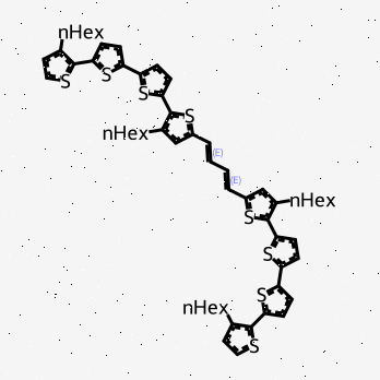 CCCCCCc1ccsc1-c1ccc(-c2ccc(-c3sc(/C=C/C=C/c4cc(CCCCCC)c(-c5ccc(-c6ccc(-c7sccc7CCCCCC)s6)s5)s4)cc3CCCCCC)s2)s1